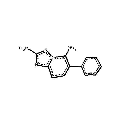 Nc1nc2ccc(-c3ccccc3)c(N)n2n1